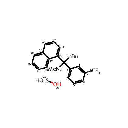 CCCCC(NC)(c1cccc(C(F)(F)F)c1)c1cccc2ccccc12.O=S(=O)(O)O